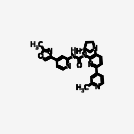 Cc1cc(-c2ccc3c(n2)N(C(=O)Nc2cc(-c4coc(C)n4)ccn2)[C@H]2CCN3C2)ccn1